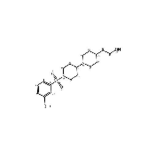 Nc1cccc(S(=O)(=O)N2CCC(N3CCC(CCO)CC3)CC2)c1